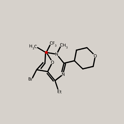 CCC1=C(OCC(F)(F)F)\C(Br)=C\C(C)N(C)/C(C2CCOCC2)=N\1